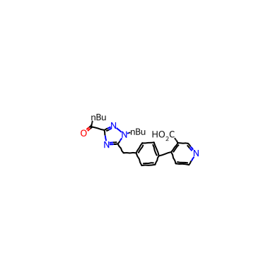 CCCCC(=O)c1nc(Cc2ccc(-c3ccncc3C(=O)O)cc2)n(CCCC)n1